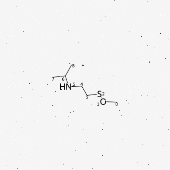 COSCCNC(C)C